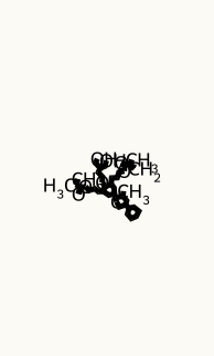 C=C(C)C(=O)OCCCC1CC(C2CCC(C3CCCCC3)CC2C)CC(CCCOC(=O)C(=C)C)C1OCCC(CO)CO